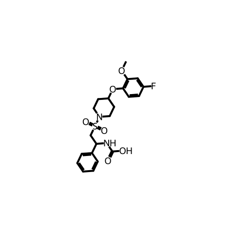 COc1cc(F)ccc1OC1CCN(S(=O)(=O)CC(NC(=O)O)c2ccccc2)CC1